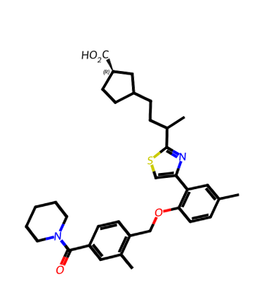 Cc1ccc(OCc2ccc(C(=O)N3CCCCC3)cc2C)c(-c2csc(C(C)CCC3CC[C@@H](C(=O)O)C3)n2)c1